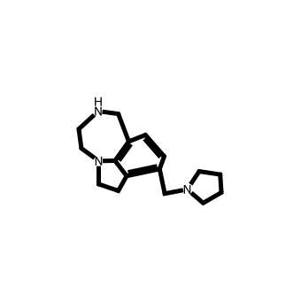 c1cc2c3c(c1CN1CCCC1)CCN3CCNC2